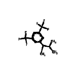 CC(C)C(C)c1cc(C(F)(F)F)cc(C(F)(F)F)c1